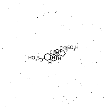 C[C@]12CC[C@H](OS(=O)(=O)O)C[C@@H]1CC[C@@H]1[C@@H]2CC[C@]2(C)[C@H](OS(=O)(=O)O)CC[C@@H]12